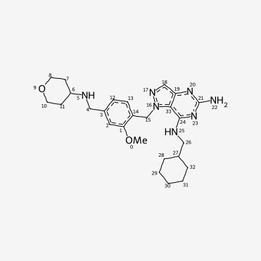 COc1cc(CNC2CCOCC2)ccc1Cn1ncc2nc(N)nc(NCC3CCCCC3)c21